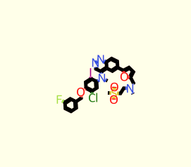 CN(CCS(C)(=O)=O)Cc1ccc(-c2ccc3nncc(N(C)c4cc(Cl)c(OCc5cccc(F)c5)cc4I)c3c2)o1